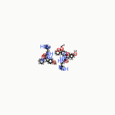 CCOC(=O)C1(C2CCCCC2)CCN(C(=O)C(Cc2ccc(OC)cc2)NC(=O)NCCc2c[nH]cn2)CC1.COc1ccc(CC(NC(=O)NCCc2c[nH]cn2)C(=O)N2CCCCC2)cc1